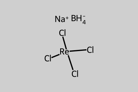 [BH4-].[Cl][Re]([Cl])([Cl])[Cl].[Na+]